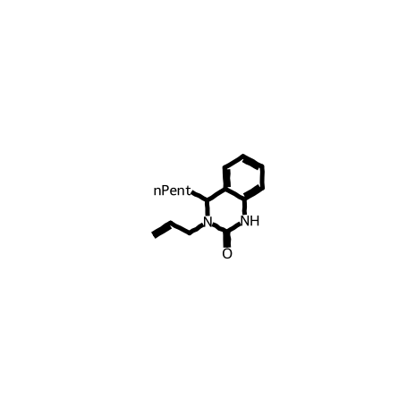 C=CCN1C(=O)Nc2ccccc2C1CCCCC